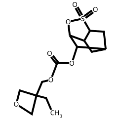 CCC1(COC(=O)OC2C3CC4C2OS(=O)(=O)C4C3)COC1